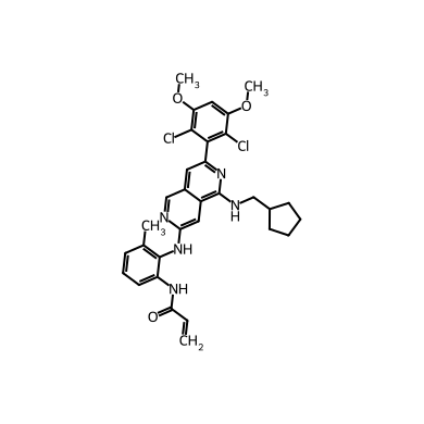 C=CC(=O)Nc1cccc(C)c1Nc1cc2c(NCC3CCCC3)nc(-c3c(Cl)c(OC)cc(OC)c3Cl)cc2cn1